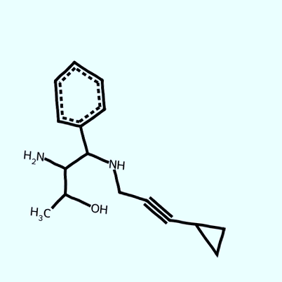 CC(O)C(N)C(NCC#CC1CC1)c1ccccc1